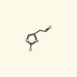 O=CCc1csc(Cl)n1